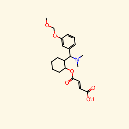 COCOc1cccc(C(C2CCCCC2OC(=O)/C=C/C(=O)O)N(C)C)c1